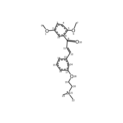 COc1ccc(OC)c(C(=O)/C=C/c2cccc(OCCN(C)C)c2)c1